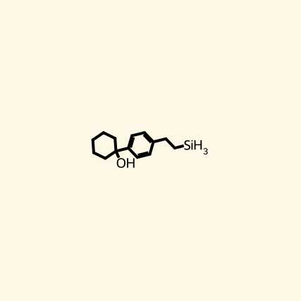 OC1(c2ccc(CC[SiH3])cc2)CCCCC1